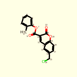 Cc1ccccc1OC(=O)c1cc2cc(CCl)ccc2oc1=O